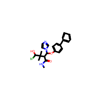 CNC(=O)C(C(Oc1ccc(-c2ccccc2)cc1)n1ccnc1)C(C)(C)C(O)Br